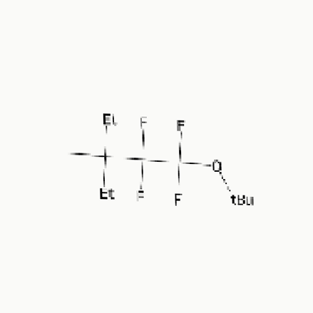 CCC(C)(CC)C(F)(F)C(F)(F)OC(C)(C)C